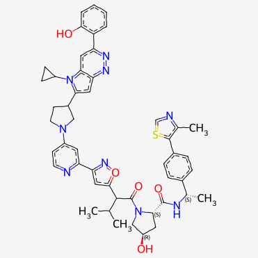 Cc1ncsc1-c1ccc([C@H](C)NC(=O)[C@@H]2C[C@@H](O)CN2C(=O)C(c2cc(-c3cc(N4CCC(c5cc6nnc(-c7ccccc7O)cc6n5C5CC5)C4)ccn3)no2)C(C)C)cc1